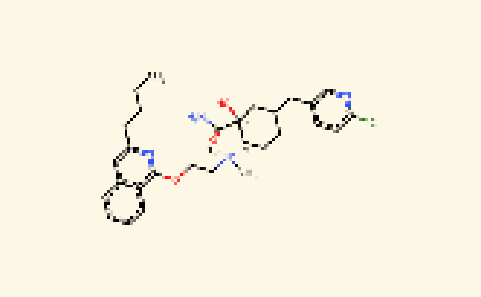 CCCCc1cc2ccccc2c(OCC[N+](C)(C)[C@H]2CCC(Cc3ccc(Cl)nc3)C[C@@]2(O)C(N)=O)n1